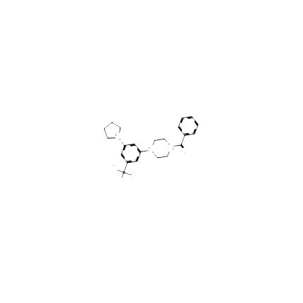 O=C(c1ccccc1)N1CCN(c2cc(N3CCCC3)cc(C(F)(F)F)c2)CC1